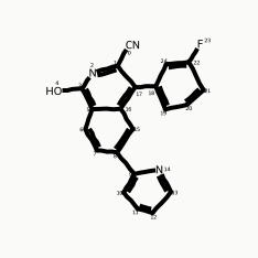 N#Cc1nc(O)c2ccc(-c3ccccn3)cc2c1-c1cccc(F)c1